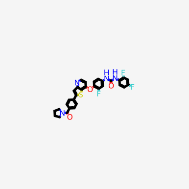 O=C(Nc1ccc(Oc2ccnc3cc(-c4ccc(C(=O)N5CCCC5)cc4)sc23)c(F)c1)Nc1ccc(F)cc1F